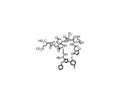 C[C@@H](NC(=O)CN1C(=O)C=CC1=O)C(=O)N[C@H](C)C(=O)N[C@@H](CC(N)=O)C(=O)N[C@@H](CCN[C@@H](c1cc(-c2cc(F)ccc2F)cn1Cc1ccccc1)C(C)(C)C)C(=O)NCCC(=O)N[C@@H](CCC(=O)O)C(=O)O.OCCO